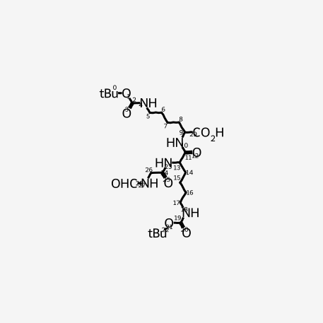 CC(C)(C)OC(=O)NCCCCC(NC(=O)C(CCCCNC(=O)OC(C)(C)C)NC(=O)CNC=O)C(=O)O